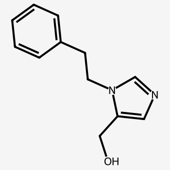 OCc1cncn1CCc1ccccc1